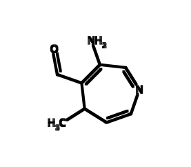 CC1C=CN=CC(N)=C1C=O